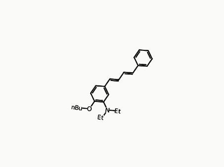 CCCCOc1ccc(/C=C/C=C/c2ccccc2)cc1N(CC)CC